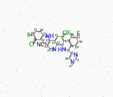 Cn1cnc(C(Nc2cc(Cl)cc3c(Nc4ccc(F)c(Cl)c4)c(C#N)cnc23)c2ccc(F)c(F)c2)c1